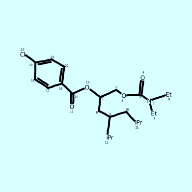 CCN(CC)C(=O)OCC(CC(CC(C)C)C(C)C)OC(=O)c1ccc(Cl)cc1